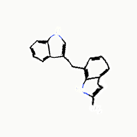 Cc1cc2cccc(Cc3c[nH]c4ccccc34)c2[nH]1